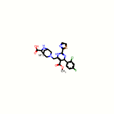 COC(=O)C1=C(CN2CC3C[C@@H](C2)C(C(=O)O)N3)NC(c2nccs2)=NC1c1ccc(F)cc1Cl